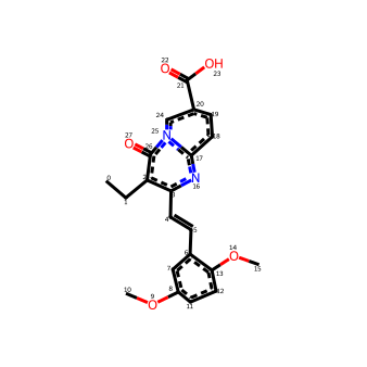 CCc1c(C=Cc2cc(OC)ccc2OC)nc2ccc(C(=O)O)cn2c1=O